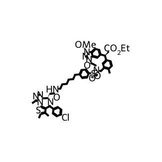 CCOC(=O)C[C@@H](c1ccc(C)c(CN2C[C@@H](C)Oc3cc(CCCCCCNC(=O)C[C@@H]4N=C(c5ccc(Cl)cc5)c5c(sc(C)c5C)-n5c(C)nnc54)ccc3S2(=O)=O)c1)c1cc(OC)c2c(c1)nnn2C